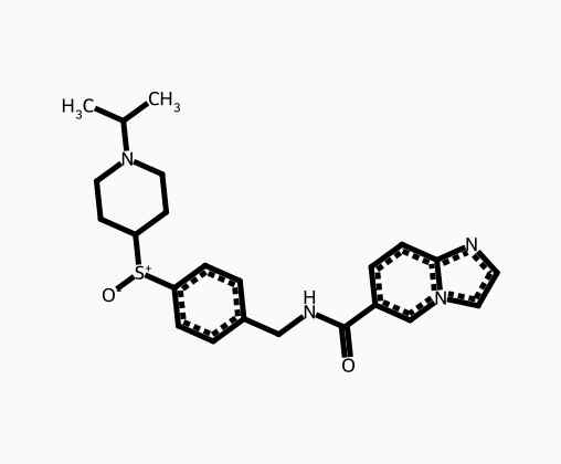 CC(C)N1CCC([S+]([O-])c2ccc(CNC(=O)c3ccc4nccn4c3)cc2)CC1